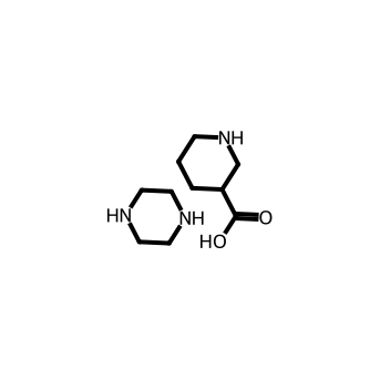 C1CNCCN1.O=C(O)C1CCCNC1